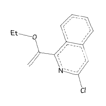 C=C(OCC)c1nc(Cl)cc2ccccc12